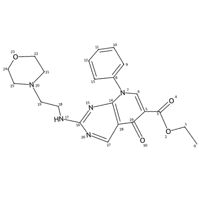 CCOC(=O)c1cn(-c2ccccc2)c2nc(NCCN3CCOCC3)ncc2c1=O